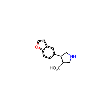 O=C(O)C1CNCC1c1ccc2occc2c1